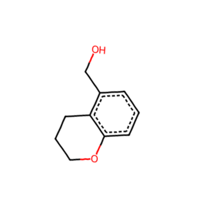 OCc1cccc2c1CCCO2